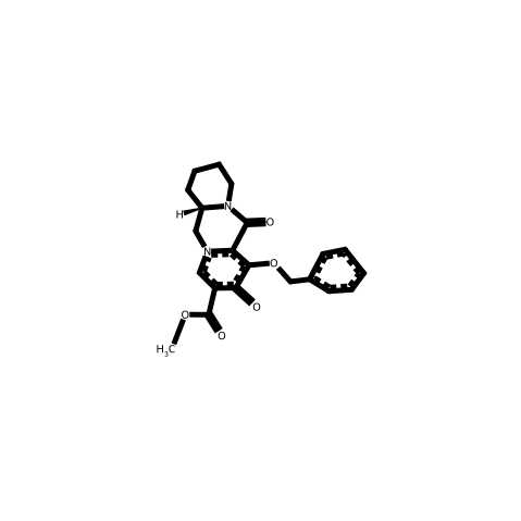 COC(=O)c1cn2c(c(OCc3ccccc3)c1=O)C(=O)N1CCCC[C@H]1C2